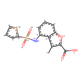 Cc1c(C(=O)O)oc2cccc(NS(=O)(=O)c3cccs3)c12